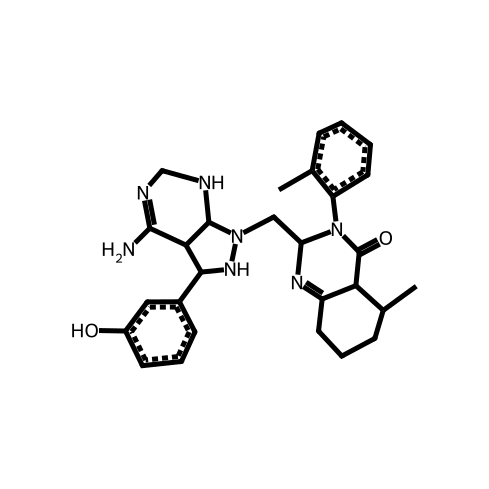 Cc1ccccc1N1C(=O)C2C(=NC1CN1NC(c3cccc(O)c3)C3C(N)=NCNC31)CCCC2C